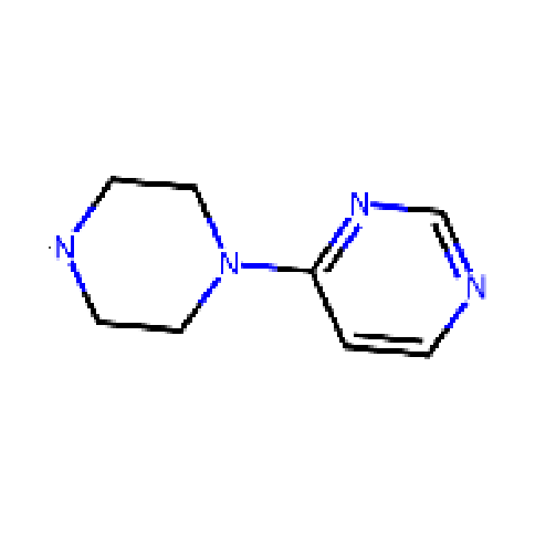 c1cc(N2CC[N]CC2)ncn1